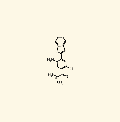 C[C@H](N)C(=O)c1cc(N)c(-c2nc3ccccc3o2)cc1Cl